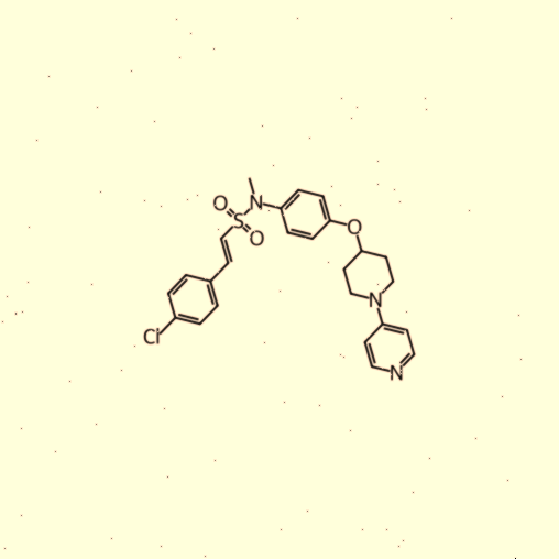 CN(c1ccc(OC2CCN(c3ccncc3)CC2)cc1)S(=O)(=O)C=Cc1ccc(Cl)cc1